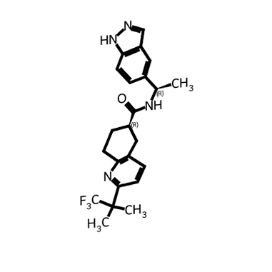 C[C@@H](NC(=O)[C@@H]1CCc2nc(C(C)(C)C(F)(F)F)ccc2C1)c1ccc2[nH]ncc2c1